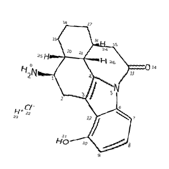 N[C@@H]1Cc2c3n(c4cccc(O)c24)C(=O)C[C@H]2CCC[C@@H]1[C@@H]32.[Cl-].[H+]